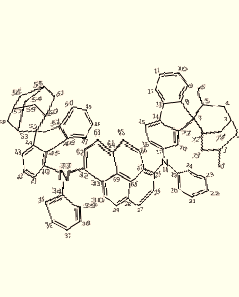 CC1CC2CC(C)C3(c4ccccc4-c4ccc(N(c5ccccc5)c5ccc6ccc7c(N(c8ccccc8)c8cccc9c8-c8ccccc8C98C9CC%10CC(C9)CC8C%10)ccc8ccc5c6c87)cc43)C(C1)C2